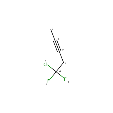 CC#CCC(F)(F)Cl